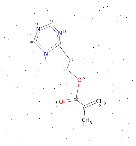 C=C(C)C(=O)OCCc1ncncn1